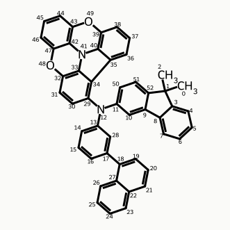 CC1(C)c2ccccc2-c2cc(N(c3cccc(-c4cccc5ccccc45)c3)c3ccc4c5c3c3cccc6c3n5-c3c(cccc3O4)O6)ccc21